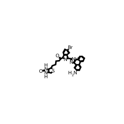 Nc1ccc2c3ccccc3c3[nH]c(C4=NC(C(=O)CCCCC5SCC6NC(=O)NC65)c5ccc(Br)cc54)nc3c2c1